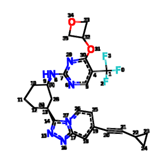 FC(F)(F)c1cnc(N[C@@H]2CCC[C@H](c3nnc4cc(C#CC5CC5)ccn34)C2)nc1OC1COC1